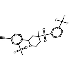 CC1(S(=O)(=O)c2cccc(C(F)(F)F)c2)CCOC(c2ccc(C#N)cc2S(C)(=O)=O)C1